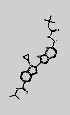 CC(C)OC(=O)c1ccc2c(c1)nc(-c1cc3ccc([C@@H](C)NC(=O)OC(C)(C)C)nc3[nH]1)n2C1CC1